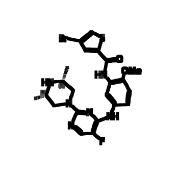 COc1ccc(Nc2nc(N3C[C@@H](C)N[C@@H](C)C3)ncc2F)cc1NC(=O)c1cc(Br)cs1